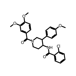 COc1ccc(C2CN(C(=O)c3ccc(OC)c(OC)c3)CCC2NC(=O)c2ccccc2Cl)cc1